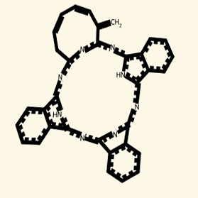 C=C1/C=C\C=C/Cc2nc1nc1[nH]c(nc3nc(nc4[nH]c(n2)c2ccccc42)-c2ccccc2-3)c2ccccc12